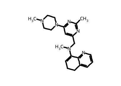 Cc1nc(CN(C)C2=CCCc3cccnc32)cc(N2CCN(C)CC2)n1